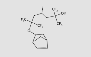 CC(CC(O)(C(F)(F)F)C(F)(F)F)CC(OC1CC2C=CC1C2)(C(F)(F)F)C(F)(F)F